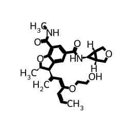 C=C(/C=C(\C=C/C)OCCO)[C@@H]1c2cc(C(=O)N[C@H]3[C@@H]4COC[C@@H]43)cc(C(=O)NC)c2O[C@H]1C